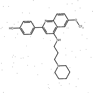 Oc1ccc(-c2cc(NCCCN3CCCCC3)c3cc(OC(F)(F)F)ccc3n2)cc1